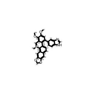 COc1cc(-c2ccc3[nH]cnc3c2)c2c(c[n+](C)c3c4cc5c(cc4ccc23)OCO5)c1OC